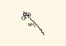 CCCCCCCCCCCCCCCCCCCC(=O)c1c(CCl)ccc(C)c1C.N